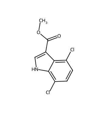 COC(=O)c1c[nH]c2c(Cl)ccc(Cl)c12